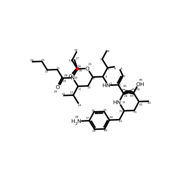 C/C=C(\NC(C(C)CC)C(CC(C(C)C)N(CCC)C(=O)CCCC)OC(C)=O)C(=O)NC(Cc1ccc(N)cc1)CC(C)C(=O)O